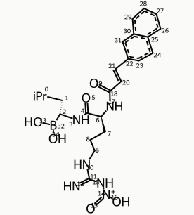 CC(C)C[C@H](NC(=O)[C@H](CCCNC(=N)N[N+](=O)O)NC(=O)/C=C/c1ccc2ccccc2c1)B(O)O